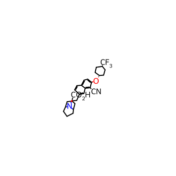 N#Cc1c(O[C@H]2CC[C@@H](C(F)(F)F)CC2)ccc2ccc(CCN3C4CCCC3CC(C(=O)O)C4)cc12